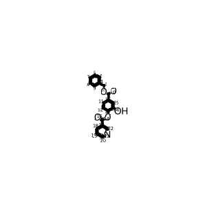 O=C(OCc1ccccc1)c1ccc(OC(=O)c2cccnc2)c(O)c1